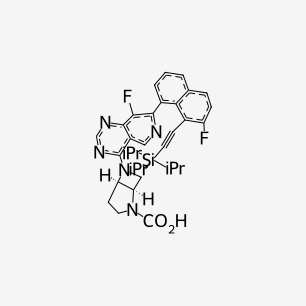 CC(C)[Si](C#Cc1c(F)ccc2cccc(-c3ncc4c(N5C[C@@H]6[C@H]5CCN6C(=O)O)ncnc4c3F)c12)(C(C)C)C(C)C